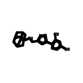 Oc1ccc(-c2cc(CNC34CC5CC(CC(C5)C3)C4)no2)c(O)c1